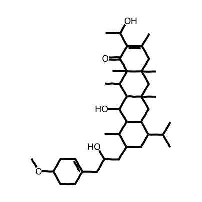 COC1CC=C(CC(O)CC2CC(C(C)C)C3CC4(C)CC5(C)CC(C)=C(C(C)O)C(=O)C5(C)C(C)C4C(O)C3C2C)CC1